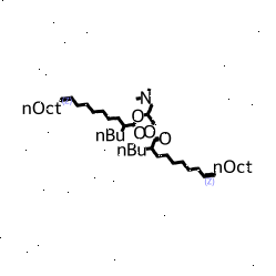 CCCCCCCC/C=C\CCCCCCC(CCCC)C(=O)OCC(CN(C)C)OC(=O)C(CCCC)CCCCCC/C=C\CCCCCCCC